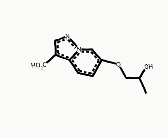 CC(O)COc1ccc2c(C(=O)O)cnn2c1